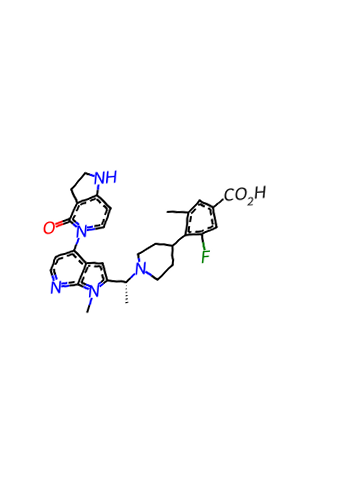 Cc1cc(C(=O)O)cc(F)c1C1CCN([C@H](C)c2cc3c(-n4ccc5c(c4=O)CCN5)ccnc3n2C)CC1